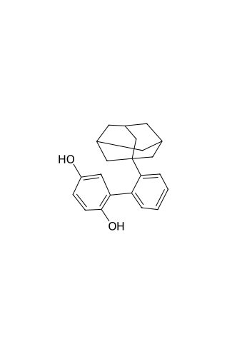 Oc1ccc(O)c(-c2ccccc2C23CC4CC(CC(C4)C2)C3)c1